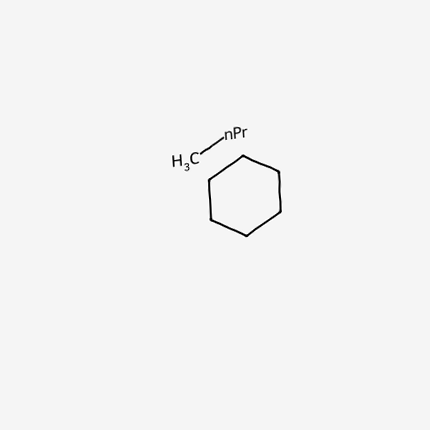 C1CCCCC1.CCCC